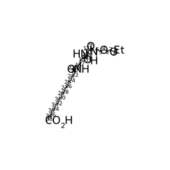 CCOCCOCCNC(=O)C(C)(C)NC(=O)CCCNC(=O)CCCCCCCCCCCCCCCCC(=O)O